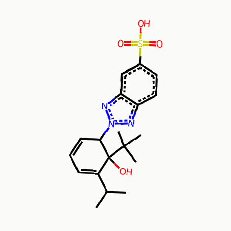 CC(C)C1=CC=CC(n2nc3ccc(S(=O)(=O)O)cc3n2)C1(O)C(C)(C)C